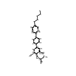 CCCCCc1cnc(-c2ccc(-c3cc(F)c(OC(F)F)c(F)c3)cc2)nc1